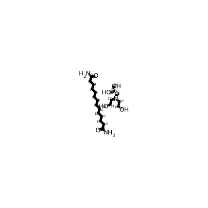 NC(=O)CCCCCCCCCCCCC(N)=O.OCCN(CCO)OB(O)O